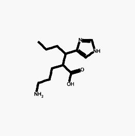 CCCC(c1c[nH]cn1)C(CCCN)C(=O)O